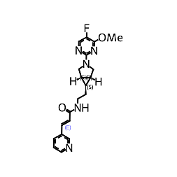 COc1nc(N2C[C@@H]3[C@@H](CCNC(=O)/C=C/c4cccnc4)[C@@H]3C2)ncc1F